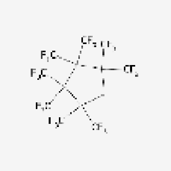 FC(F)(F)C1(C(F)(F)F)CC(C(F)(F)F)(C(F)(F)F)C(C(F)(F)F)(C(F)(F)F)C1(C(F)(F)F)C(F)(F)F